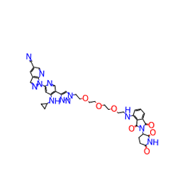 N#Cc1cnc2c(cnn2-c2cc(NC3CC3)c(-c3cn(CCOCCOCCOCCNc4cccc5c4C(=O)N(C4CCC(=O)NC4=O)C5=O)nn3)cn2)c1